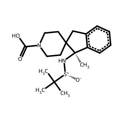 CC(C)(C)[S@@+]([O-])N[C@]1(C)c2ccccc2CC12CCN(C(=O)O)CC2